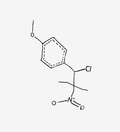 COc1ccc(C(Cl)C(C)(C)[N+](=O)[O-])cc1